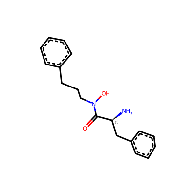 N[C@@H](Cc1ccccc1)C(=O)N(O)CCCc1ccccc1